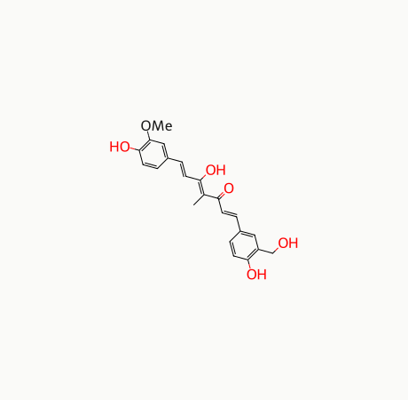 COc1cc(/C=C/C(O)=C(\C)C(=O)/C=C/c2ccc(O)c(CO)c2)ccc1O